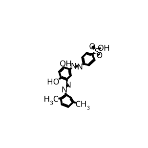 Cc1ccc(C)c(N=Nc2cc(N=Nc3ccc(S(=O)(=O)O)cc3)c(O)cc2O)c1